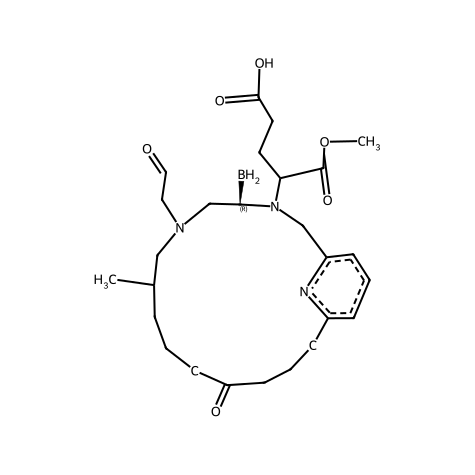 B[C@@H]1CN(CC=O)CC(C)CCCC(=O)CCCc2cccc(n2)CN1C(CCC(=O)O)C(=O)OC